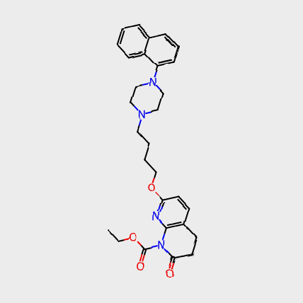 CCOC(=O)N1C(=O)CCc2ccc(OCCCCN3CCN(c4cccc5ccccc45)CC3)nc21